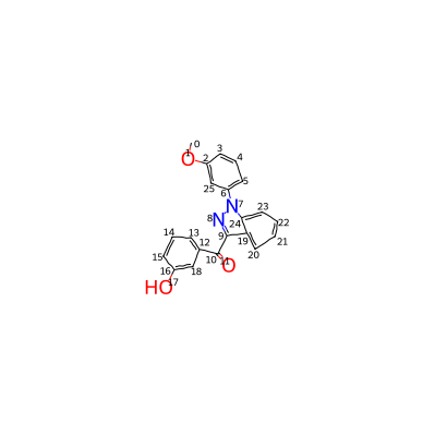 COc1cccc(-n2nc(C(=O)c3cccc(O)c3)c3ccccc32)c1